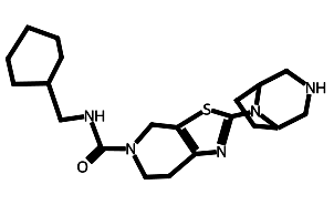 O=C(NCC1CCCCC1)N1CCc2nc(N3C4CCC3CNC4)sc2C1